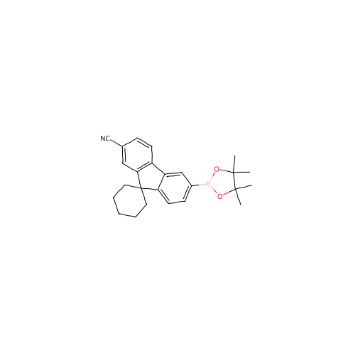 CC1(C)OB(c2ccc3c(c2)-c2ccc(C#N)cc2C32CCCCC2)OC1(C)C